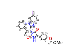 CO[C@@H](C)Oc1ccc(C2NC(=O)N([C@H](c3nc4ccc(I)cc4[nH]3)[C@@H](C)c3ccccc3)C2=O)cc1